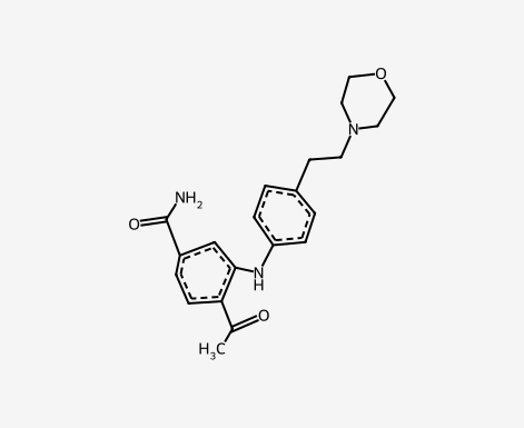 CC(=O)c1ccc(C(N)=O)cc1Nc1ccc(CCN2CCOCC2)cc1